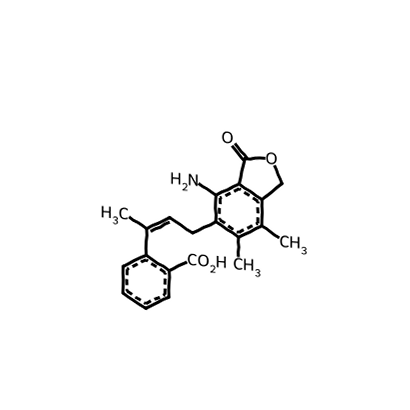 CC(=CCc1c(C)c(C)c2c(c1N)C(=O)OC2)c1ccccc1C(=O)O